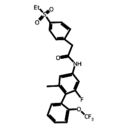 CCS(=O)(=O)c1ccc(CC(=O)Nc2cc(C)c(-c3ccccc3OC(F)(F)F)c(F)c2)cc1